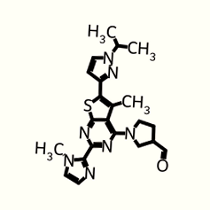 Cc1c(-c2ccn(C(C)C)n2)sc2nc(-c3nccn3C)nc(N3CCC(C=O)C3)c12